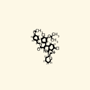 COc1ccc(Cn2c(=O)c(N)c(-c3ccc(Cl)c4nn(C5CCCCO5)cc34)c3cc(OC(C)C)c(Cl)cc32)cc1